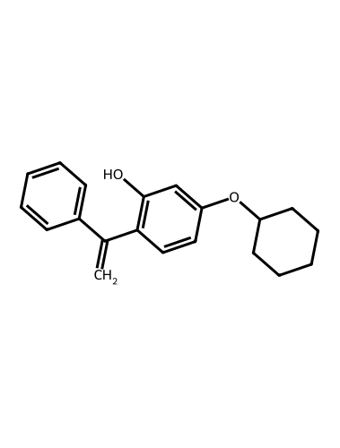 C=C(c1ccccc1)c1ccc(OC2CCCCC2)cc1O